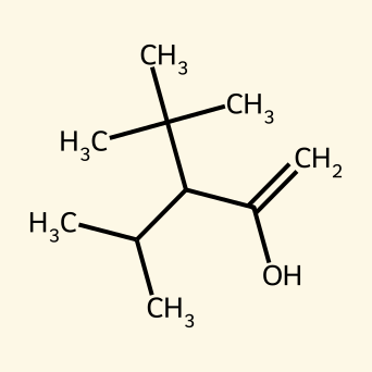 C=C(O)C(C(C)C)C(C)(C)C